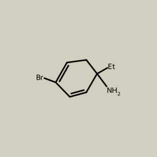 CCC1(N)C=CC(Br)=CC1